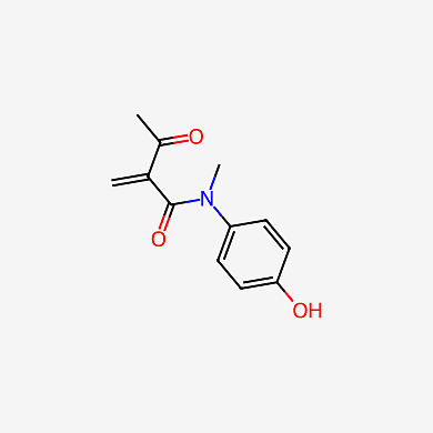 C=C(C(C)=O)C(=O)N(C)c1ccc(O)cc1